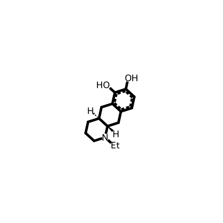 CCN1CCC[C@H]2Cc3c(ccc(O)c3O)C[C@@H]21